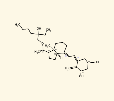 C=C1/C(=C\C=C2/CCC[C@]3(C)[C@@H]([C@@H](C)OCC(O)(CC)CCCC)CC[C@@H]23)C[C@@H](O)C[C@@H]1O